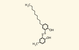 CCCCCCCCCc1ccc(O)c(SSc2cc(C)ccc2O)c1